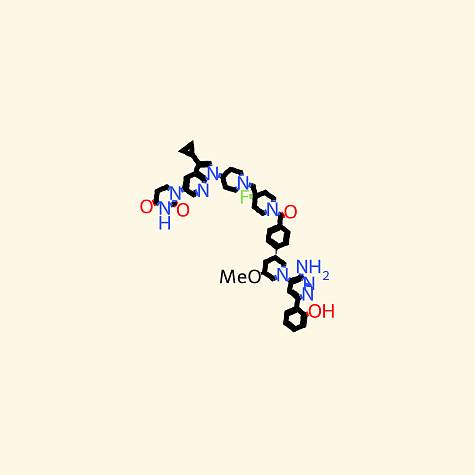 CO[C@H]1C[C@H](c2ccc(C(=O)N3CCC(F)(CN4CCC(n5cc(C6CC6)c6cc(N7CCC(=O)NC7=O)cnc65)CC4)CC3)cc2)CN(c2cc(-c3ccccc3O)nnc2N)C1